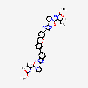 COC(=O)N[C@H](C(=O)N1CCC[C@H]1c1ncc(-c2ccc3c(c2)Oc2cc(-c4ccc5nc([C@@H]6CCCN6C(=O)[C@@H](NC(=O)OC)C(C)C)[nH]c5c4)ccc2C3)[nH]1)C(C)C